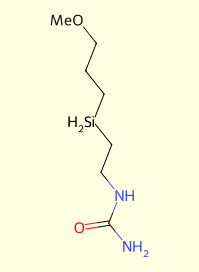 COCCC[SiH2]CCNC(N)=O